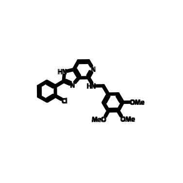 COc1cc(CNc2nccc3[nH]c(-c4ccccc4Cl)nc23)cc(OC)c1OC